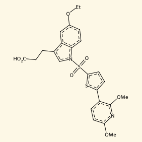 CCOc1ccc2c(c1)c(CCC(=O)O)cn2S(=O)(=O)c1ccc(-c2ccc(OC)nc2OC)s1